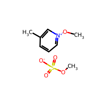 COS(=O)(=O)[O-].CO[n+]1cccc(C)c1